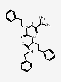 C[C@H](N)C(=O)N[C@@H](CCc1ccccc1)C(=O)N[C@@H](CCc1ccccc1)C(=O)NCc1ccccc1